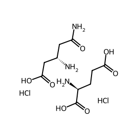 Cl.Cl.NC(=O)C[C@H](N)CC(=O)O.N[C@@H](CCC(=O)O)C(=O)O